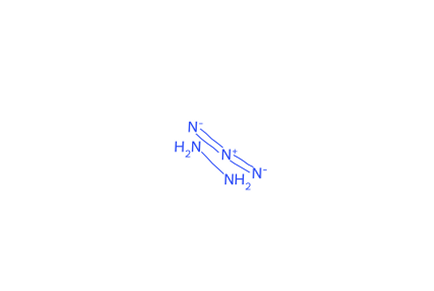 NN.[N-]=[N+]=[N-]